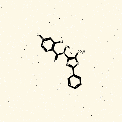 CN(C(=O)c1ccc(Cl)cc1Cl)c1nc(-c2ccccc2)sc1C(=O)O